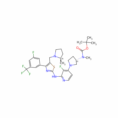 C[C@@H]1CCCN1Cc1sc(Nc2nccc(N3CC[C@H](N(C)C(=O)OC(C)(C)C)C3)c2F)nc1-c1cc(F)cc(C(F)(F)F)c1